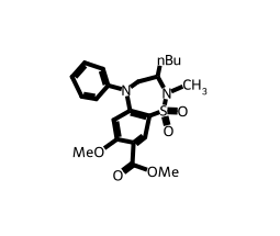 CCCCC1CN(c2ccccc2)c2cc(OC)c(C(=O)OC)cc2S(=O)(=O)N1C